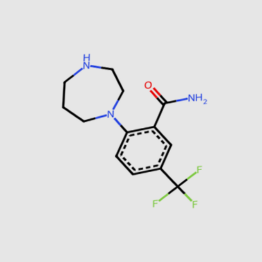 NC(=O)c1cc(C(F)(F)F)ccc1N1CCCNCC1